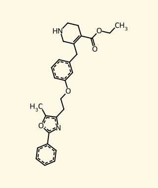 CCOC(=O)C1=C(Cc2cccc(OCCc3nc(-c4ccccc4)oc3C)c2)CNCC1